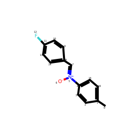 Cc1ccc([N+]([O-])=Cc2ccc(F)cc2)cc1